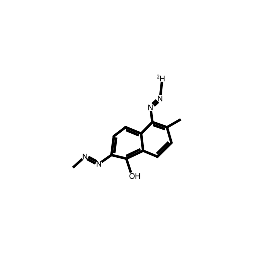 [2H]N=Nc1c(C)ccc2c(O)c(N=NC)ccc12